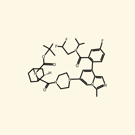 Cc1ncc2c(-c3ccc(F)cc3C(=O)N(CC(F)F)C(C)C)cc(N3CCN(C(=O)[C@H]4C5CCC(CC5)N4C(=O)OC(C)(C)C)CC3)cn12